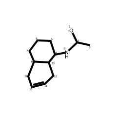 CC([O])NC1CCCC2CC=CCC21